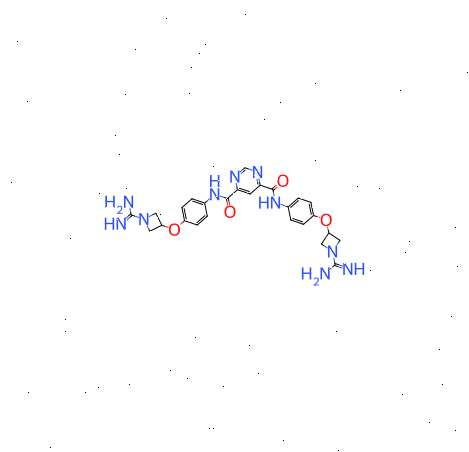 N=C(N)N1CC(Oc2ccc(NC(=O)c3cc(C(=O)Nc4ccc(OC5CN(C(=N)N)C5)cc4)ncn3)cc2)C1